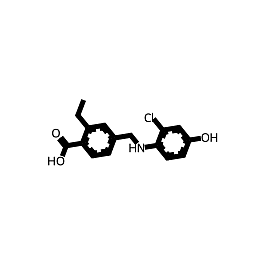 CCc1cc(CNc2ccc(O)cc2Cl)ccc1C(=O)O